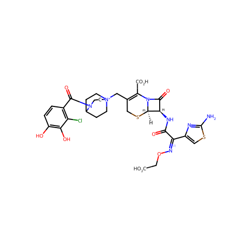 Nc1nc(/C(=N/OCC(=O)O)C(=O)N[C@@H]2C(=O)N3C(C(=O)O)=C(C[N+]45CCC(CC4)N(C(=O)c4ccc(O)c(O)c4Cl)CC5)CS[C@H]23)cs1